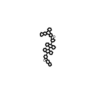 c1ccc2cc3c(cc2c1)oc1ccc(-c2c4ccccc4c(-c4c5ccccc5c(-c5ccc6oc7cc8c9ccccc9c9cc%10ccccc%10cc9c8cc7c6c5)c5ccccc45)c4ccccc24)cc13